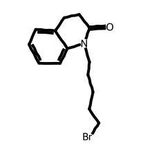 O=C1CCc2ccccc2N1CCCCCBr